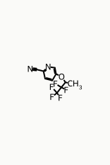 CC(Oc1ccc(C#N)nc1)C(F)(F)C(F)(F)F